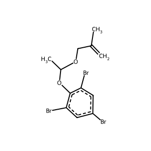 C=C(C)COC(C)Oc1c(Br)cc(Br)cc1Br